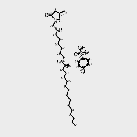 CCCCCCCCCCCCCCC(=O)NCCCCCCNCN1CC(C)CC1=O.Cc1ccc(S(=O)(=O)O)cc1